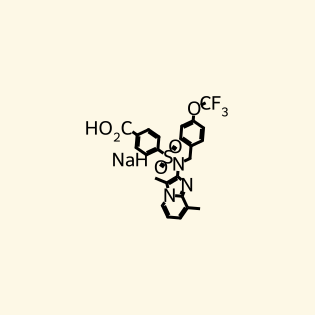 Cc1cccn2c(C)c(N(Cc3ccc(OC(F)(F)F)cc3)S(=O)(=O)c3ccc(C(=O)O)cc3)nc12.[NaH]